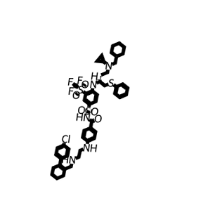 O=C(NS(=O)(=O)c1ccc(N[C@H](CCN(CC2CCCCC2)C2CC2)CSc2ccccc2)c(S(=O)(=O)C(F)(F)F)c1)c1ccc(NCCNCC2=C(c3ccc(Cl)cc3)CCCC2)cc1